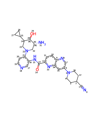 N#CC1CCN(c2cnc3ccc(C(=O)Nc4cnccc4N4CC(C5CC5)[C@@H](O)[C@H](N)C4)nc3c2)CC1